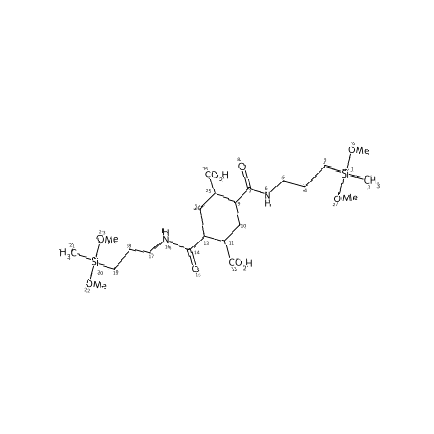 CO[Si](C)(CCCNC(=O)C1CC(C(=O)O)C(C(=O)NCCC[Si](C)(OC)OC)CC1C(=O)O)OC